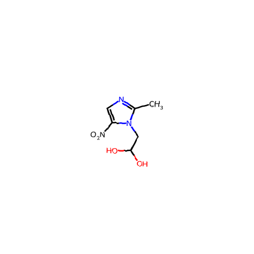 Cc1ncc([N+](=O)[O-])n1CC(O)O